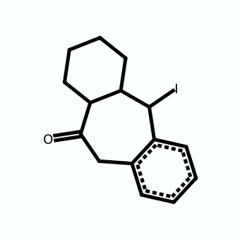 O=C1Cc2ccccc2C(I)C2CCCCC12